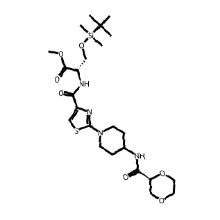 COC(=O)[C@H](CO[Si](C)(C)C(C)(C)C)NC(=O)c1csc(N2CCC(NC(=O)[C@@H]3COCCO3)CC2)n1